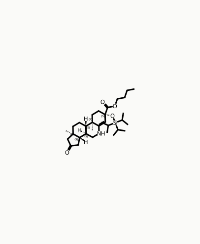 CCCCOC(=O)[C@@]1(O[Si](C(C)C)(C(C)C)C(C)C)C=C2NC[C@H]3[C@@H]4CC(=O)C[C@@]4(C)CC[C@@H]3[C@@]2(C)CC1